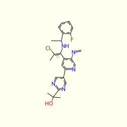 C=Nc1cnc(-c2cnc(C(C)(C)O)nc2)cc1/C(NC(C)c1ccccc1F)=C(\C)Cl